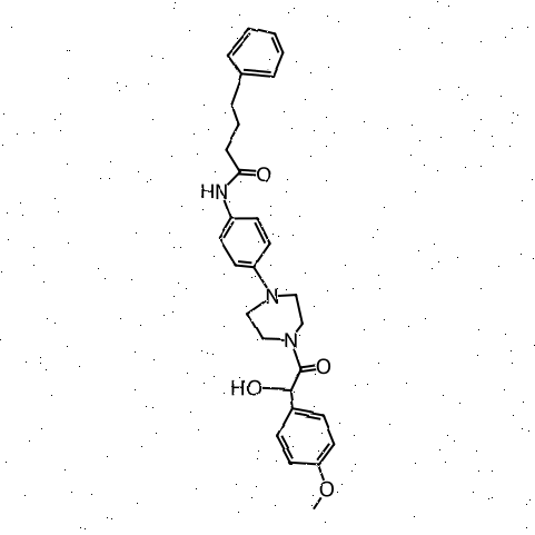 COc1ccc(C(O)C(=O)N2CCN(c3ccc(NC(=O)CCCc4ccccc4)cc3)CC2)cc1